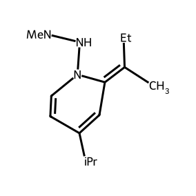 CC/C(C)=C1/C=C(C(C)C)C=CN1NNC